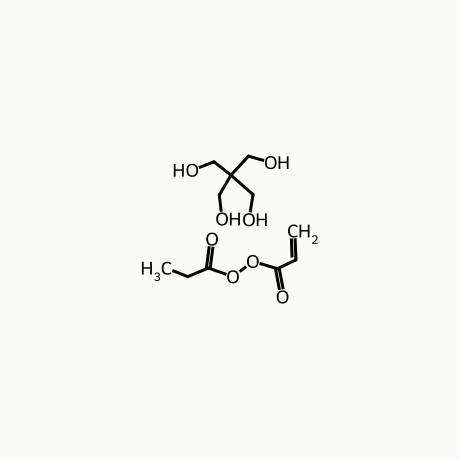 C=CC(=O)OOC(=O)CC.OCC(CO)(CO)CO